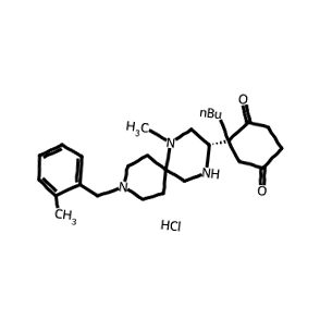 CCCCC1([C@H]2CN(C)C3(CCN(Cc4ccccc4C)CC3)CN2)CC(=O)CCC1=O.Cl